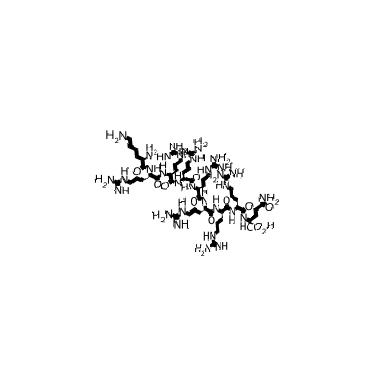 N=C(N)NCCC[C@H](NC(=O)[C@H](CCCNC(=N)N)NC(=O)[C@H](CCCNC(=N)N)NC(=O)[C@H](CCCNC(=N)N)NC(=O)[C@H](CCCNC(=N)N)NC(=O)[C@H](CCCNC(=N)N)NC(=O)[C@H](CCCNC(=N)N)NC(=O)[C@@H](N)CCCCN)C(=O)N[C@@H](CCC(N)=O)C(=O)O